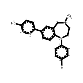 [CH]c1ccc(-c2ccc3c(c2)CN(C)CCN3c2ccc(Cl)cc2)nn1